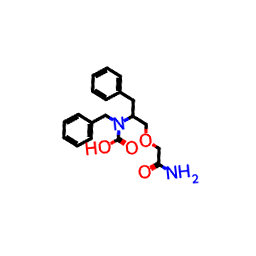 NC(=O)COCC(Cc1ccccc1)N(Cc1ccccc1)C(=O)O